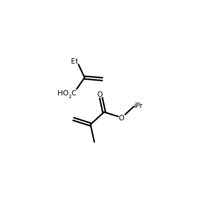 C=C(C)C(=O)OC(C)C.C=C(CC)C(=O)O